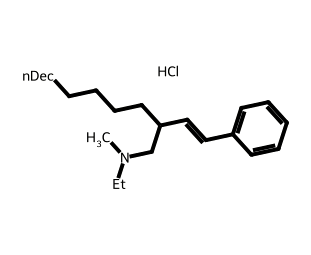 CCCCCCCCCCCCCCC(C=Cc1ccccc1)CN(C)CC.Cl